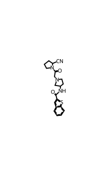 N#CC1CCCN1C(=O)CN1CCC(NC(=O)c2cc3ccccc3s2)C1